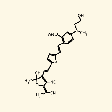 [C-]#[N+]C1=C(/C=C/c2ccc(/C=C/c3ccc(N(C)CCO)cc3OC)s2)C(C)(C)O/C1=C(\C)C#N